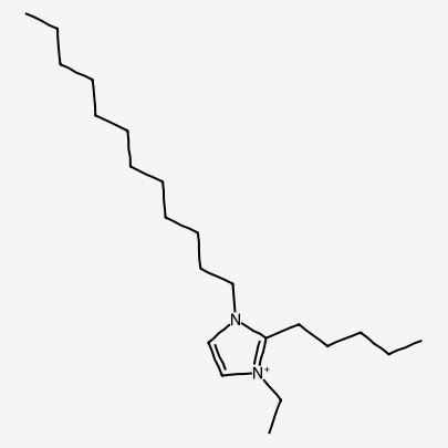 CCCCCCCCCCCCn1cc[n+](CC)c1CCCCC